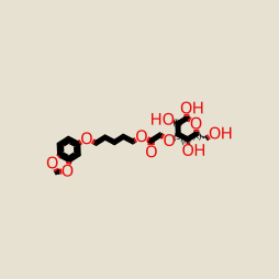 O=C(CO[C@H]1[C@H](O)[C@@H](CO)OC(O)[C@@H]1O)OCCCCCOc1ccc2c(c1)OCO2